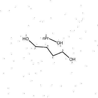 CCCO.OCCCCO